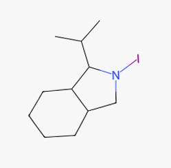 CC(C)C1C2CCCCC2CN1I